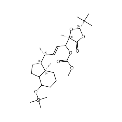 COC(=O)OC(C=C[C@@H](C)[C@H]1CCC2C(O[Si](C)(C)C)CCC[C@@]21C)[C@@]1(C)O[C@H](C(C)(C)C)OC1=O